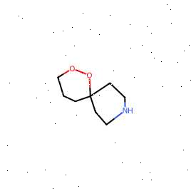 C1COOC2(C1)CCNCC2